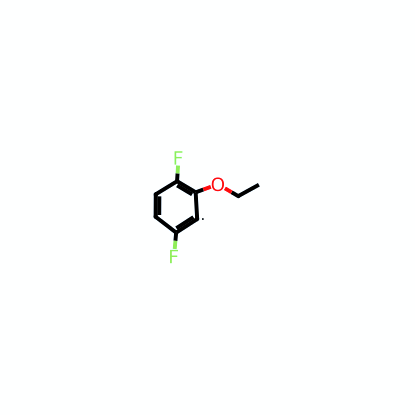 CCOc1[c]c(F)ccc1F